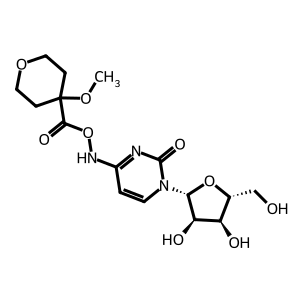 COC1(C(=O)ONc2ccn([C@@H]3O[C@H](CO)[C@@H](O)[C@H]3O)c(=O)n2)CCOCC1